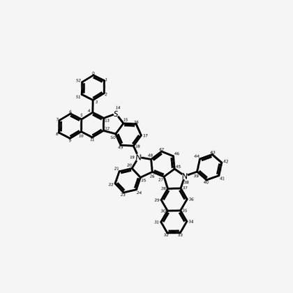 c1ccc(-c2c3ccccc3cc3c2sc2ccc(-n4c5ccccc5c5c6c7cc8ccccc8cc7n(-c7ccccc7)c6ccc54)cc23)cc1